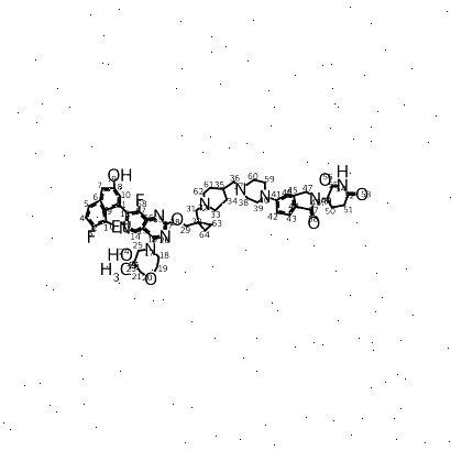 CCc1c(F)ccc2cc(O)cc(-c3ncc4c(N5CCOC[C@@](C)(O)C5)nc(OCC5(CN6CCC(CN7CCN(c8ccc9c(c8)CN([C@H]8CCC(=O)NC8=O)C9=O)CC7)CC6)CC5)nc4c3F)c12